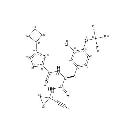 N#CC1(NC(=O)[C@H](Cc2ccc(OC(F)(F)F)c(Cl)c2)NC(=O)c2cnn(C3CCC3)n2)CC1